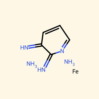 N.N.N=C1C=CC=NC1=N.[Fe]